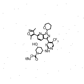 Cc1noc(C)c1-c1ccc2c(-c3nc(N[C@H]4C[C@@H](O)CN(C(=O)OC(C)(C)C)C4)ncc3C(F)(F)F)nn(C3CCCCO3)c2n1